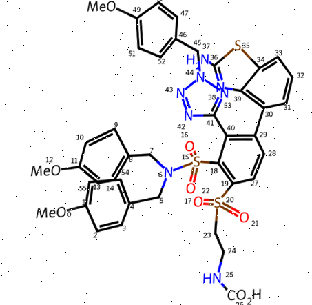 COc1ccc(CN(Cc2ccc(OC)cc2)S(=O)(=O)c2c(S(=O)(=O)CCNC(=O)O)ccc(-c3cccc4sc(N)nc34)c2-c2nnn(Cc3ccc(OC)cc3)n2)cc1